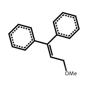 COCC=C(c1ccccc1)c1ccccc1